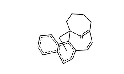 CCC12CCCCC(=N1)C=Cc1ccc3ccccc3c12